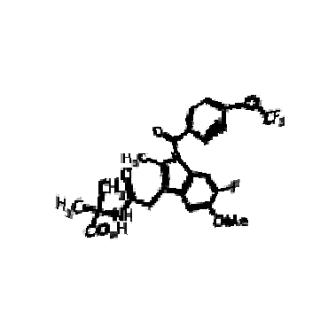 COc1cc2c(CC(=O)NC(C)(C)C(=O)O)c(C)n(C(=O)c3ccc(OC(F)(F)F)cc3)c2cc1F